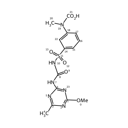 COc1nc(C)nc(NC(=O)NS(=O)(=O)c2cccc(N(C)C(=O)O)c2)n1